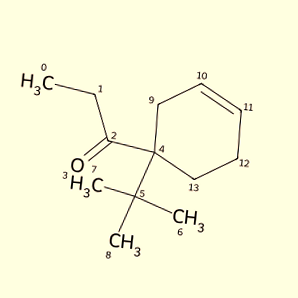 CCC(=O)C1(C(C)(C)C)CC=CCC1